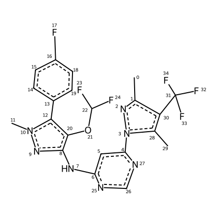 Cc1nn(-c2cc(Nc3nn(C)c(-c4ccc(F)cc4)c3OC(F)F)ncn2)c(C)c1C(F)(F)F